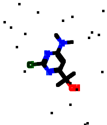 CN(C)c1cc(C(C)(C)O)nc(Cl)n1